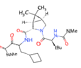 CNC(=O)N[C@H](C(=O)N1C[C@H]2[C@@H]([C@H]1C(=O)NC(CC1CCC1)C(=O)C(=O)NC)C2(C)C)C(C)(C)C